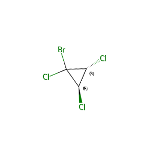 Cl[C@@H]1[C@@H](Cl)C1(Cl)Br